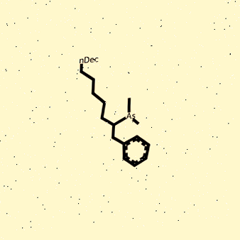 CCCCCCCCCCCCCCCC(Cc1ccccc1)[As](C)C